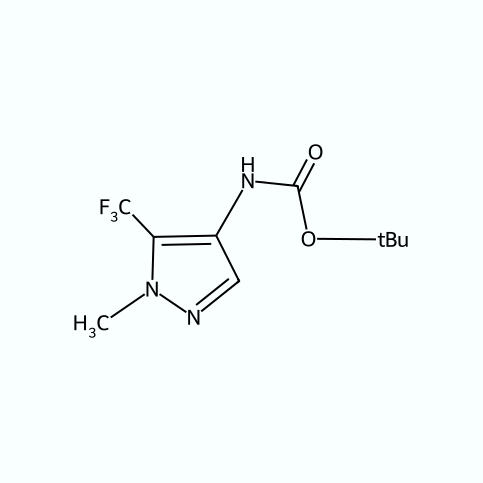 Cn1ncc(NC(=O)OC(C)(C)C)c1C(F)(F)F